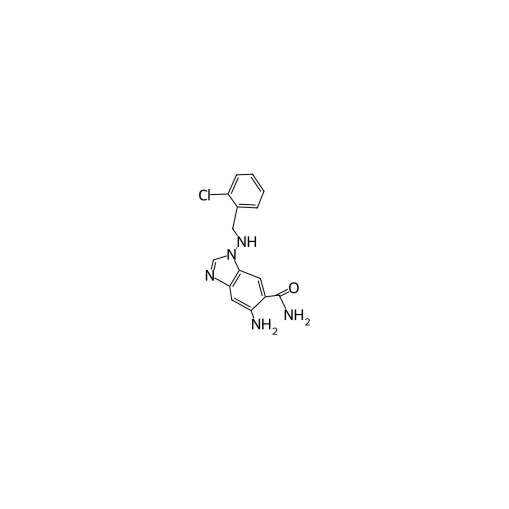 NC(=O)c1cc2c(cc1N)ncn2NCc1ccccc1Cl